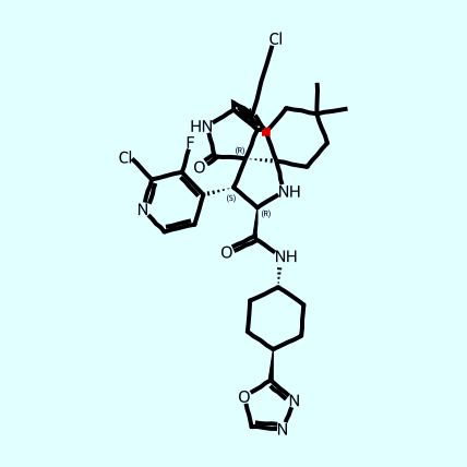 CC1(C)CCC2(CC1)N[C@@H](C(=O)N[C@H]1CC[C@H](c3nnco3)CC1)[C@H](c1ccnc(Cl)c1F)[C@]21C(=O)Nc2cc(Cl)ncc21